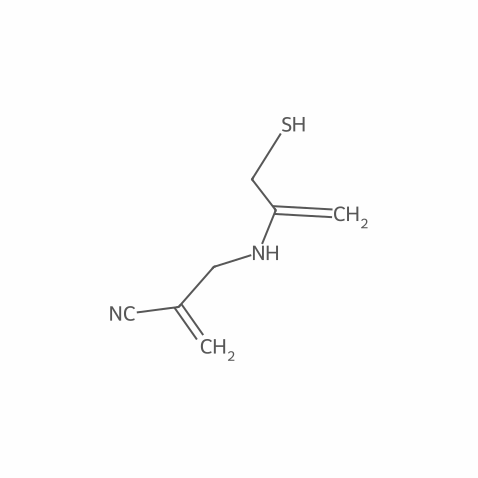 C=C(C#N)CNC(=C)CS